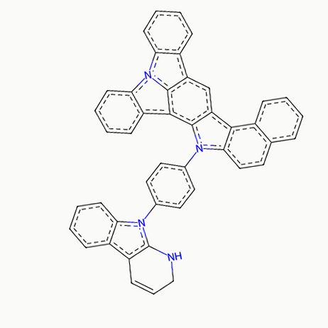 C1=Cc2c(n(-c3ccc(-n4c5ccc6ccccc6c5c5cc6c7ccccc7n7c8ccccc8c(c54)c67)cc3)c3ccccc23)NC1